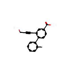 Cc1ccccc1-c1ccc(C(=O)O)cc1C#CCO